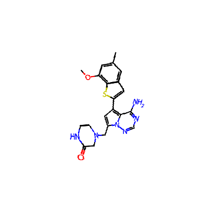 COc1cc(C)cc2cc(-c3cc(CN4CCNC(=O)C4)n4ncnc(N)c34)sc12